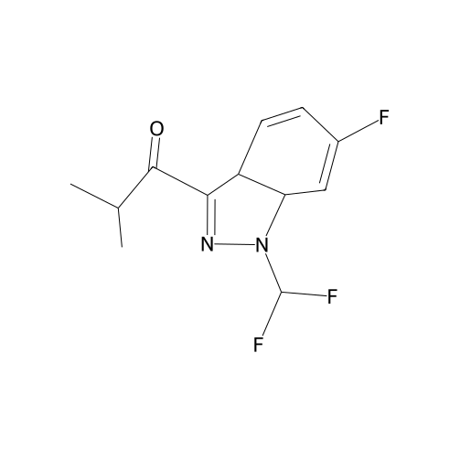 CC(C)C(=O)C1=NN(C(F)F)C2C=C(F)C=CC12